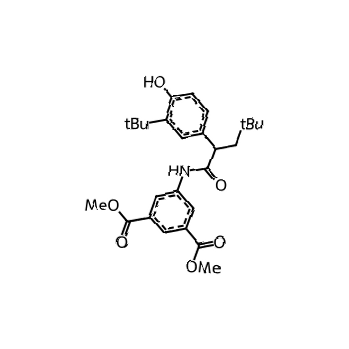 COC(=O)c1cc(NC(=O)C(CC(C)(C)C)c2ccc(O)c(C(C)(C)C)c2)cc(C(=O)OC)c1